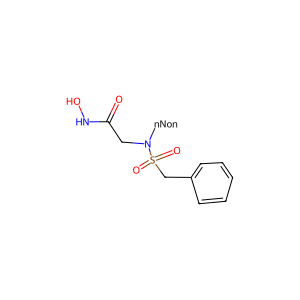 CCCCCCCCCN(CC(=O)NO)S(=O)(=O)Cc1ccccc1